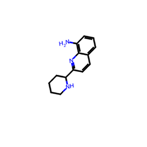 Nc1cccc2ccc(C3CCCCN3)nc12